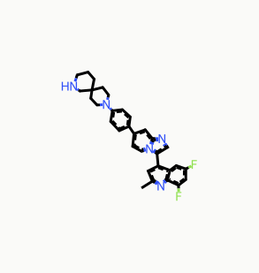 Cc1cc(-c2cnc3cc(-c4ccc(N5CCC6(CCCNC6)CC5)cc4)ccn23)c2cc(F)cc(F)c2n1